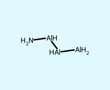 [NH2][AlH][AlH][AlH2]